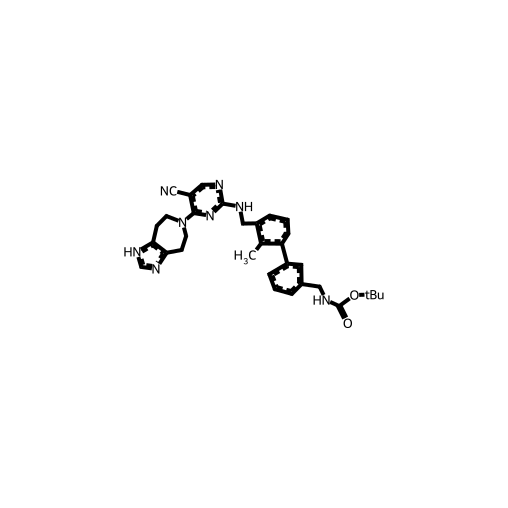 Cc1c(CNc2ncc(C#N)c(N3CCc4nc[nH]c4CC3)n2)cccc1-c1cccc(CNC(=O)OC(C)(C)C)c1